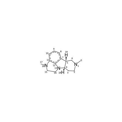 CN1CC[C@H]2[C@@H](C1)c1cccc3c1N2CCN3C